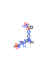 CC(C)n1nc(N2CCC(N3CCN(Cc4ccccc4C4CCC(=O)NC4=O)CC3)CC2)c2cnc(Nc3ccnc(-c4cnn(S(=O)(=O)C5CC5)c4)n3)cc21